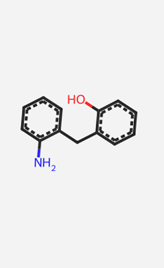 Nc1ccccc1Cc1ccccc1O